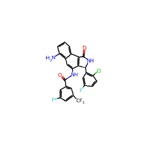 Nc1cccc2c3c(c(NC(=O)c4cc(F)cc(C(F)(F)F)c4)cc12)C(c1cc(F)ccc1Cl)NC3=O